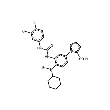 CCN(c1ccc(-n2cccc2C(=O)O)cc1NC(=O)Nc1ccc(Cl)c(Cl)c1)C1CCCCC1